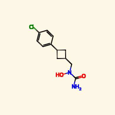 NC(=O)N(O)CC1CC(c2ccc(Cl)cc2)C1